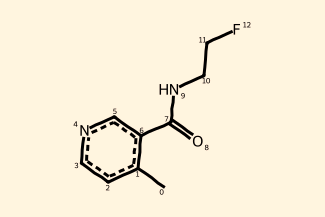 Cc1ccncc1C(=O)NCCF